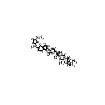 CC(C)(N)C(=O)N1CCN(C(=O)Nc2ccn(-c3ccc4c(c3)CCC(N[C@@H]3CC[C@H](N)C3)C4)c(=O)n2)CC1